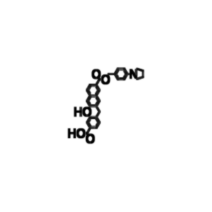 O=C(O)c1ccc(Cc2cc3cc(C(=O)OCc4ccc(N5CCCC5)cc4)ccc3cc2O)cc1